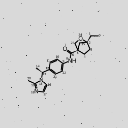 CC[C@]12CC[C@](C(=O)Nc3ccc([C@H](C)n4ccnc4C)cc3)(CO1)C2